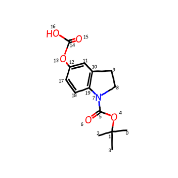 CC(C)(C)OC(=O)N1CCc2cc(OC(=O)O)ccc21